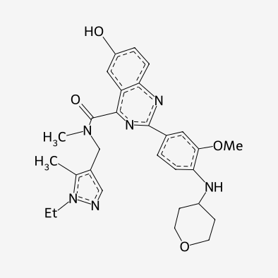 CCn1ncc(CN(C)C(=O)c2nc(-c3ccc(NC4CCOCC4)c(OC)c3)nc3ccc(O)cc23)c1C